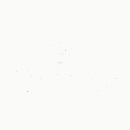 C1=CCC(c2ccccc2-c2ccccc2)(N(c2ccc(-c3ccc(-n4c5ccccc5c5ccccc54)cc3)cc2)c2ccc(-c3cccc(-c4ccccc4)c3)cc2)C(c2ccccc2)=C1